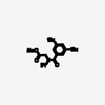 COC(=O)CN(C(=O)c1cc(C(C)(C)C)cc(C(C)(C)C)c1)C(C)C